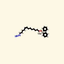 CC(C)(C)[Si](OCCCCCCC/C=C\CCCCN=[N+]=[N-])(c1ccccc1)c1ccccc1